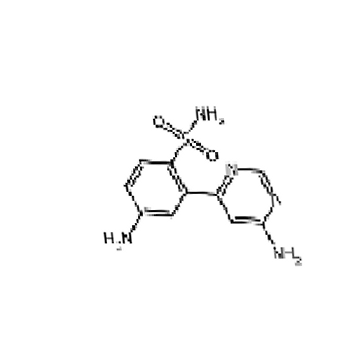 Nc1ccc(S(N)(=O)=O)c(-c2cc(N)ncn2)c1